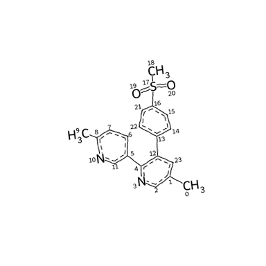 Cc1cnc(-c2ccc(C)nc2)c(-c2ccc(S(C)(=O)=O)cc2)c1